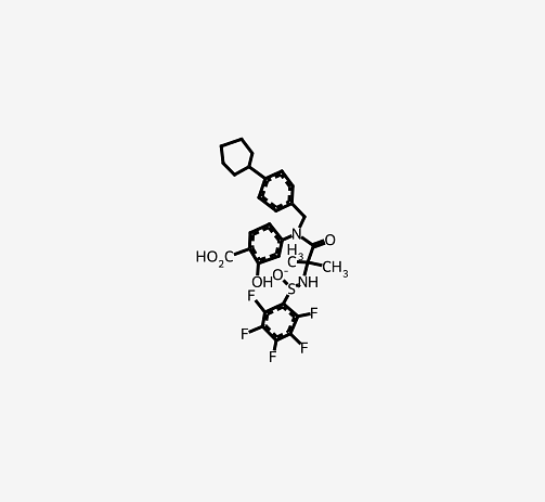 CC(C)(N[S+]([O-])c1c(F)c(F)c(F)c(F)c1F)C(=O)N(Cc1ccc(C2CCCCC2)cc1)c1ccc(C(=O)O)c(O)c1